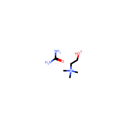 C[N+](C)(C)CCO.NC(N)=O.[I-]